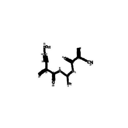 C=C(C#N)C(=O)OC(CCC)OC(=O)C(=C)C#[N+]CCCCCCCC